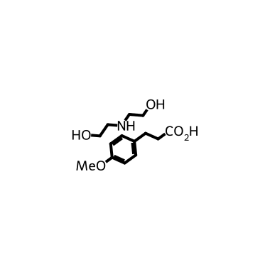 COc1ccc(CCC(=O)O)cc1.OCCNCCO